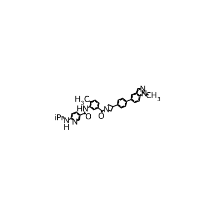 Cc1ccc(C(=O)N2CC(c3ccc(-c4ccc5c(cnn5C)c4)cc3)C2)cc1NC(=O)c1ccc(NC(C)C)nc1